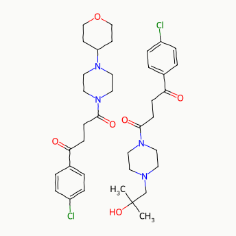 CC(C)(O)CN1CCN(C(=O)CCC(=O)c2ccc(Cl)cc2)CC1.O=C(CCC(=O)N1CCN(C2CCOCC2)CC1)c1ccc(Cl)cc1